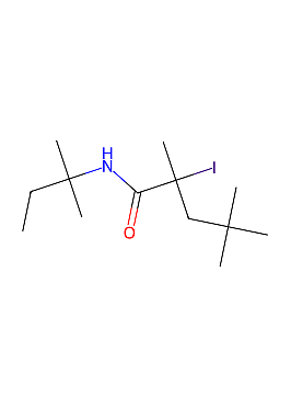 CCC(C)(C)NC(=O)C(C)(I)CC(C)(C)C